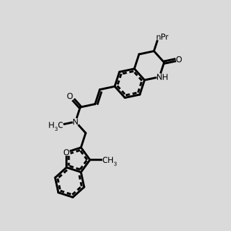 CCCC1Cc2cc(/C=C/C(=O)N(C)Cc3oc4ccccc4c3C)ccc2NC1=O